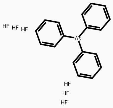 F.F.F.F.F.F.c1ccc([As](c2ccccc2)c2ccccc2)cc1